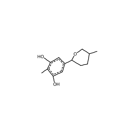 Cc1c(O)cc(C2CCC(C)CO2)cc1O